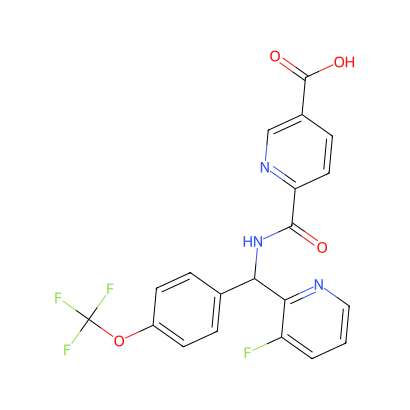 O=C(O)c1ccc(C(=O)NC(c2ccc(OC(F)(F)F)cc2)c2ncccc2F)nc1